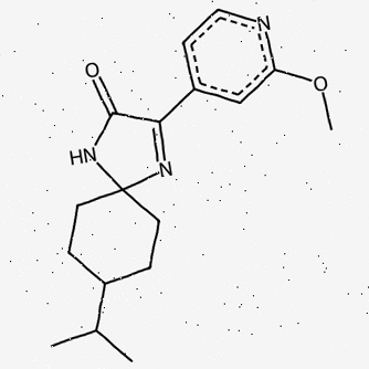 COc1cc(C2=NC3(CCC(C(C)C)CC3)NC2=O)ccn1